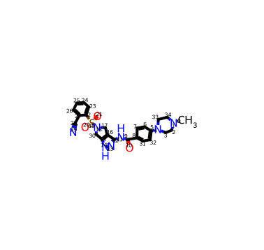 CN1CCN(c2ccc(C(=O)Nc3n[nH]c4c3CN(S(=O)(=O)c3ccccc3C#N)C4)cc2)CC1